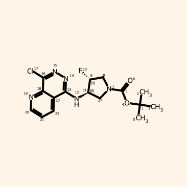 CC(C)(C)OC(=O)N1C[C@@H](F)[C@H](Nc2nnc(Cl)c3ncccc23)C1